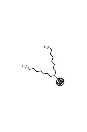 CCCCCCCCP(CCCCCCCC)[C]12[CH]3[CH]4[CH]5[CH]1[Ni]45321678[CH]2[CH]1[CH]6[CH]7[CH]28